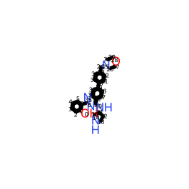 Oc1ccccc1-c1nc(N[C@H]2CCNC2)c2ccc(-c3ccc(CN4CCOCC4)cc3)cc2n1